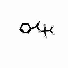 [2H]C([2H])C([2H])([2H])OC(=O)c1ccccc1